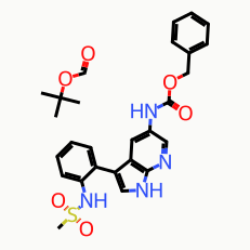 CC(C)(C)OC=O.CS(=O)(=O)Nc1ccccc1-c1c[nH]c2ncc(NC(=O)OCc3ccccc3)cc12